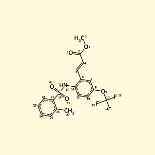 COC(=O)C=Cc1cc(OC(F)(F)F)ccc1NS(=O)(=O)c1ccccc1C